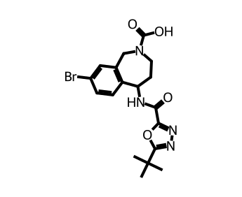 CC(C)(C)c1nnc(C(=O)NC2CCN(C(=O)O)Cc3cc(Br)ccc32)o1